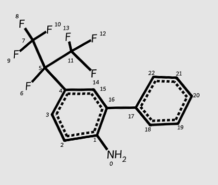 Nc1ccc(C(F)(C(F)(F)F)C(F)(F)F)cc1-c1ccccc1